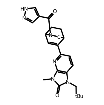 Cn1c(=O)n(CC(C)(C)C)c2ccc(C3=CC4CCC3CN4C(=O)c3cn[nH]c3)nc21